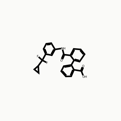 O=C(O)c1ccccc1-c1ccccc1C(=O)Nc1cccc(C(F)(F)C2CC2)c1